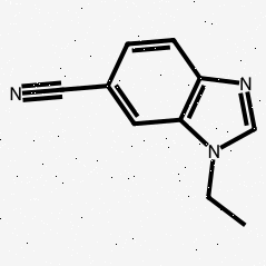 CCn1cnc2ccc(C#N)cc21